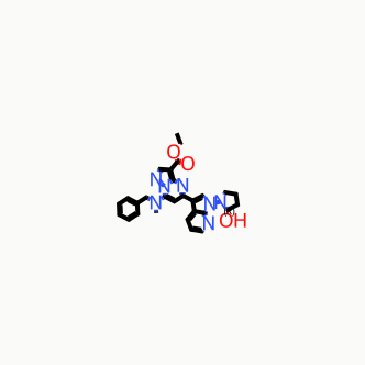 CCOC(=O)c1cnn2c(N(C)Cc3ccccc3)cc(-c3cn(N4CCC[C@H]4O)c4ncccc34)nc12